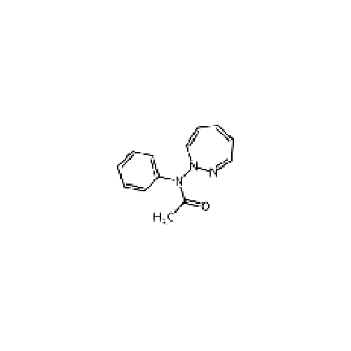 CC(=O)N(c1ccccc1)N1C=CC=CC=N1